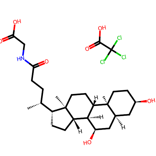 C[C@H](CCC(=O)NCC(=O)O)[C@H]1CC[C@H]2[C@@H]3[C@H](O)C[C@@H]4C[C@H](O)CC[C@]4(C)[C@H]3CC[C@]12C.O=C(O)C(Cl)(Cl)Cl